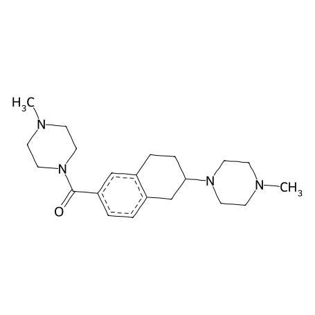 CN1CCN(C(=O)c2ccc3c(c2)CCC(N2CCN(C)CC2)C3)CC1